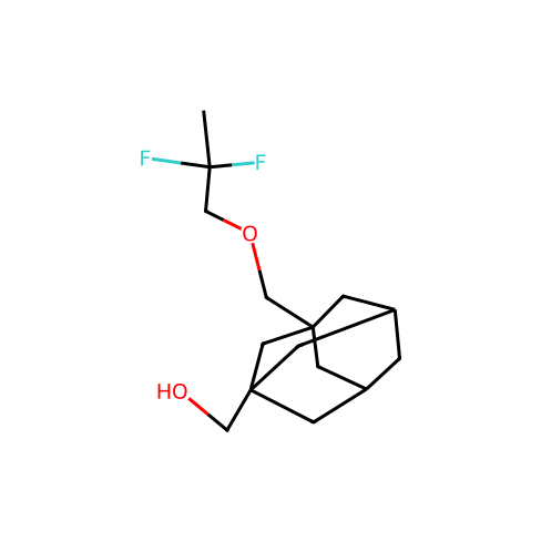 CC(F)(F)COCC12CC3CC(CC(CO)(C3)C1)C2